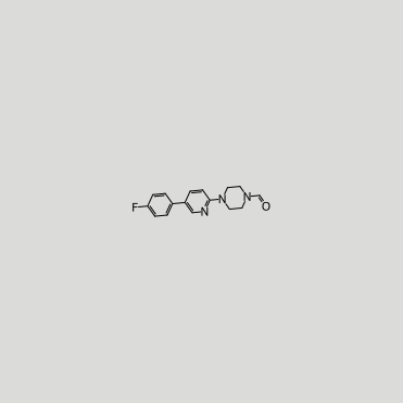 O=CN1CCN(c2ccc(-c3ccc(F)cc3)cn2)CC1